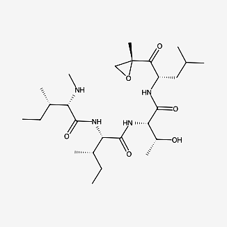 CC[C@H](C)[C@H](NC)C(=O)N[C@H](C(=O)N[C@H](C(=O)N[C@@H](CC(C)C)C(=O)[C@@]1(C)CO1)[C@@H](C)O)[C@@H](C)CC